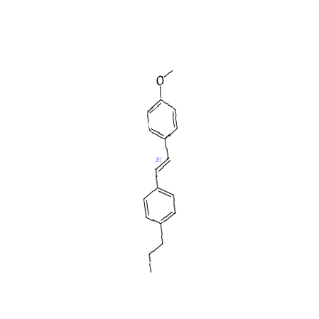 CCCc1ccc(/C=C/c2ccc(OC)cc2)cc1